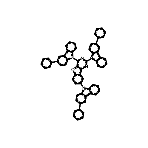 c1ccc(-c2ccc3c(c2)c2ccccc2n3-c2ccc3oc4c(-n5c6ccccc6c6cc(-c7ccccc7)ccc65)nc(-n5c6ccccc6c6cc(-c7ccccc7)ccc65)nc4c3c2)cc1